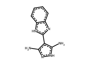 Nc1n[nH]c(N)c1-c1nc2ccccc2[nH]1